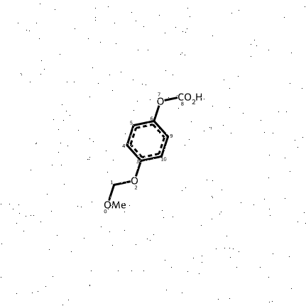 COCOc1ccc(OC(=O)O)cc1